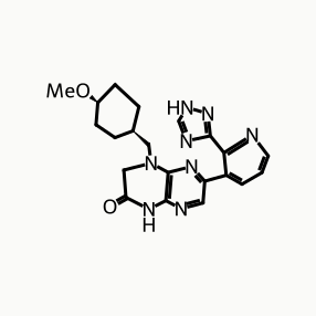 CO[C@H]1CC[C@@H](CN2CC(=O)Nc3ncc(-c4cccnc4-c4nc[nH]n4)nc32)CC1